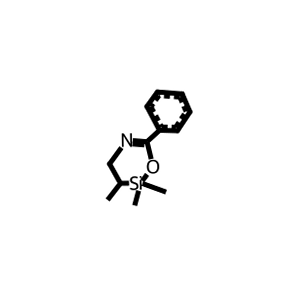 CC1CN=C(c2ccccc2)O[Si]1(C)C